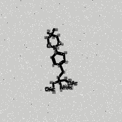 CC(=O)NC(CCc1ccc(B2OCC(C)(C)CO2)cc1)(COC(C)=O)COC(C)=O